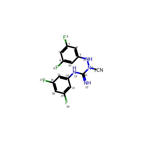 N#CN(Nc1cc(F)cc(F)c1)C(=N)Nc1cc(F)cc(F)c1